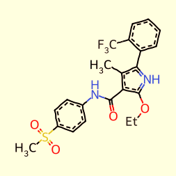 CCOc1[nH]c(-c2ccccc2C(F)(F)F)c(C)c1C(=O)Nc1ccc(S(C)(=O)=O)cc1